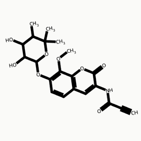 C#CC(=O)Nc1cc2ccc(OC3OC(C)(C)C(C)C(O)C3O)c(OC)c2oc1=O